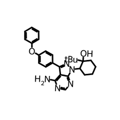 CC(C)(C)C1(O)CCCCC1n1nc(-c2ccc(Oc3ccccc3)cc2)c2c(N)ncnc21